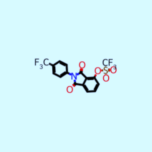 O=C1c2cccc(OS(=O)(=O)C(F)(F)F)c2C(=O)N1c1ccc(C(F)(F)F)cc1